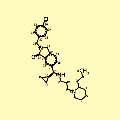 CCCC1CCCCN1CCCNC(=C1CC1)c1ccc2c(c1)C(=O)N(Cc1ccc(Cl)cc1)C2